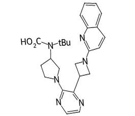 CC(C)(C)N(C(=O)O)C1CCN(c2nccnc2C2CN(c3ccc4ccccc4n3)C2)C1